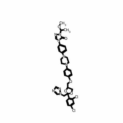 COC(C)n1ncn(-c2ccc(N3CCN(c4ccc(OCC5COC(Cn6cncn6)(c6ccc(Cl)cc6Cl)O5)cc4)CC3)cc2)c1=O